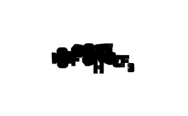 O=C(NC(c1ccc(C(F)(F)F)cc1F)C1CC1)C1CCCN1C(=O)c1cccc(C2(F)CN(S(=O)(=O)C3CC3)C2)c1